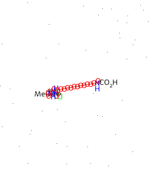 COC(=O)[C@H](Cc1ccc(NC(=O)c2c(Cl)cccc2Cl)cc1)NC(=O)C1(CCNC(=O)CCOCCOCCOCCOCCOCCOCCOCCOCCOCCOCCOCCOCCNC(=O)CCC(=O)O)CCCC1